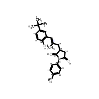 C/C(=C\c1cc(C(C)(C)C(C)C)ccc1O)CC1CC(=O)N(c2ccc(C(C)C)cc2)C1=O